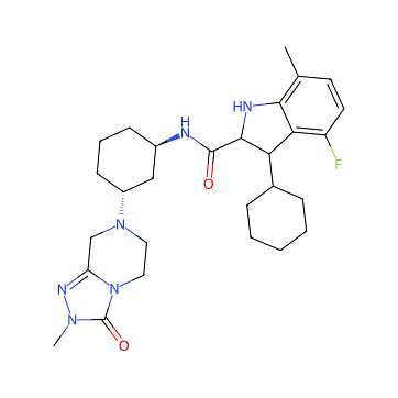 Cc1ccc(F)c2c1NC(C(=O)N[C@@H]1CCC[C@@H](N3CCn4c(nn(C)c4=O)C3)C1)C2C1CCCCC1